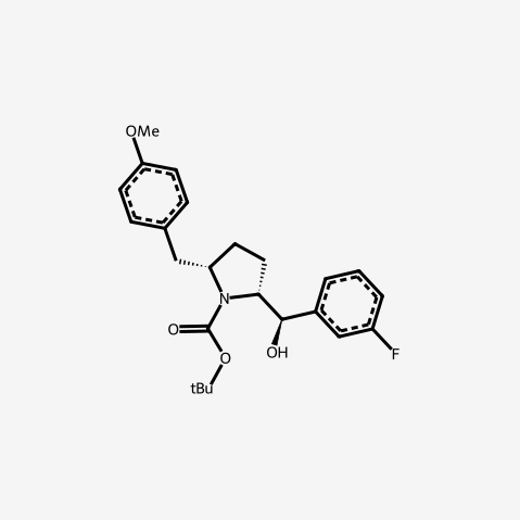 COc1ccc(C[C@@H]2CC[C@H]([C@H](O)c3cccc(F)c3)N2C(=O)OC(C)(C)C)cc1